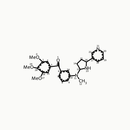 COc1cc(C(=O)c2cccc(N(C)C3CCC(c4cccnc4)N3)c2)cc(OC)c1OC